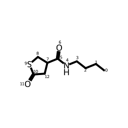 CCCCNC(=O)C1CSC(=O)C1